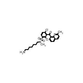 Cc1ccc2cccc(C(=O)c3c(Cl)ccc(S(=O)(=O)N(C)CCCCCCCN)c3Cl)c2n1